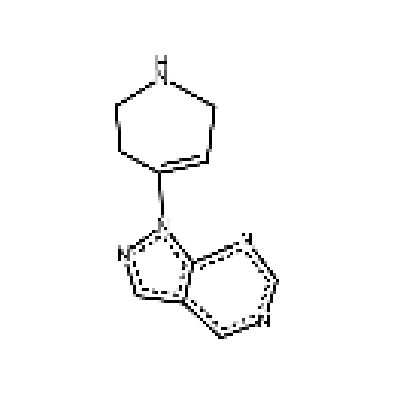 C1=C(n2ncc3cncnc32)CCNC1